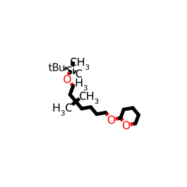 CC(C)(CCCCOC1CCCCO1)CCO[Si](C)(C)C(C)(C)C